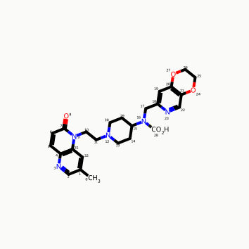 Cc1cnc2ccc(=O)n(CCN3CCC(N(Cc4cc5c(cn4)OCCO5)C(=O)O)CC3)c2c1